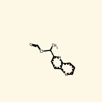 CC(OC=O)c1ccc2ncccc2n1